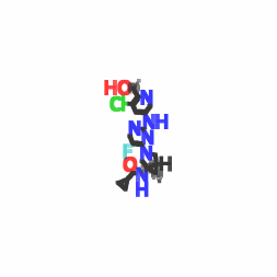 C[C@@H](O)c1ncc(Nc2ncc(F)c(N3C[C@@H]4[C@H](C)[C@@]4(NC(=O)C4CC4)C3)n2)cc1Cl